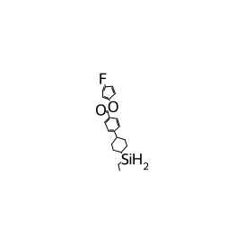 CC[SiH2]C1CCC(c2ccc(C(=O)Oc3ccc(F)cc3)cc2)CC1